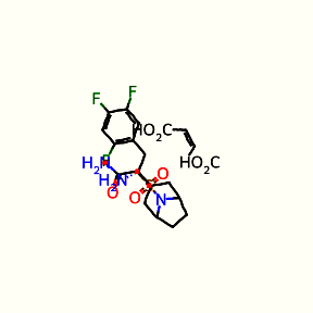 NC(=O)CS(=O)(=O)N1C2CCC1CC([C@H](N)Cc1cc(F)c(F)cc1F)C2.O=C(O)/C=C\C(=O)O